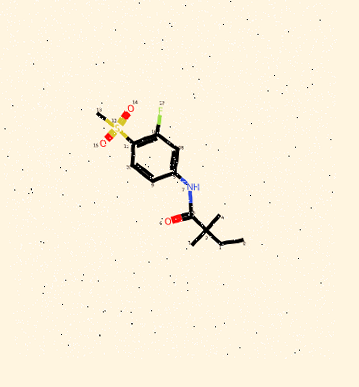 CCC(C)(C)C(=O)Nc1ccc(S(C)(=O)=O)c(F)c1